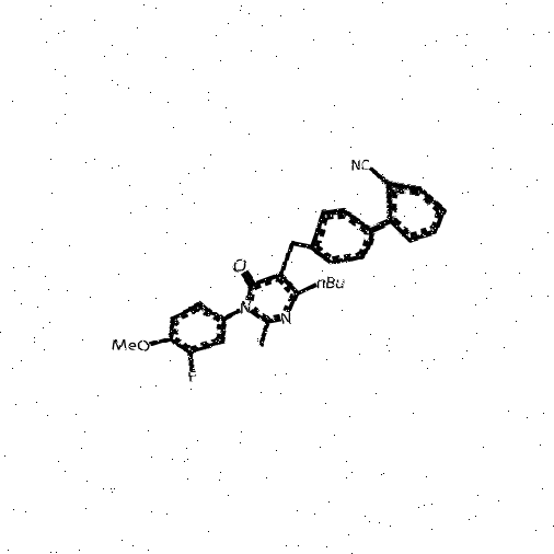 CCCCc1nc(C)n(-c2ccc(OC)c(F)c2)c(=O)c1Cc1ccc(-c2ccccc2C#N)cc1